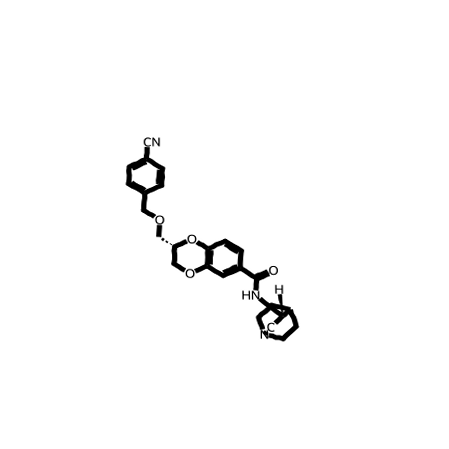 N#Cc1ccc(COC[C@H]2COc3cc(C(=O)N[C@H]4CN5CCC4CC5)ccc3O2)cc1